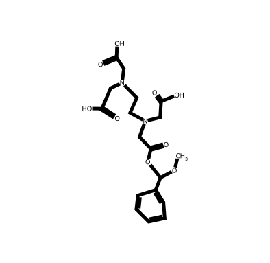 COC(OC(=O)CN(CCN(CC(=O)O)CC(=O)O)CC(=O)O)c1ccccc1